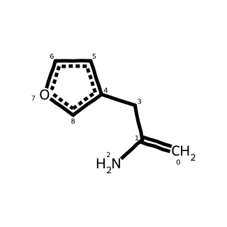 C=C(N)Cc1ccoc1